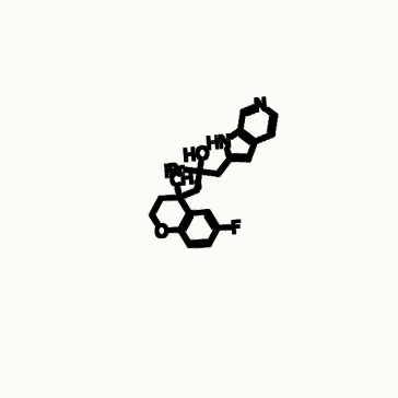 CC(C)C(O)(Cc1cc2ccncc2[nH]1)CC1(C)CCOc2ccc(F)cc21